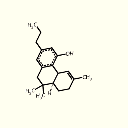 CCCc1cc(O)c2c(c1)CC(C)(C)[C@@H]1CCC(C)=CC21